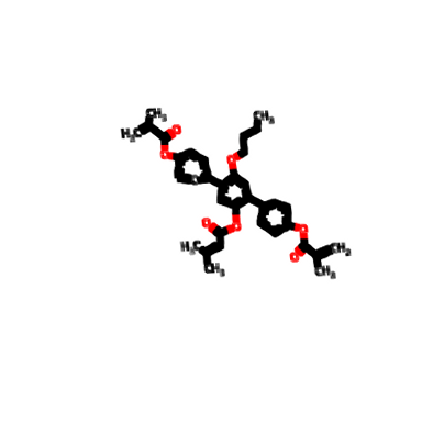 C=C(C)C(=O)Oc1ccc(-c2cc(OC(=O)C=C(C)C)c(-c3ccc(OC(=O)C(=C)C)cc3)cc2OCCCC)cc1